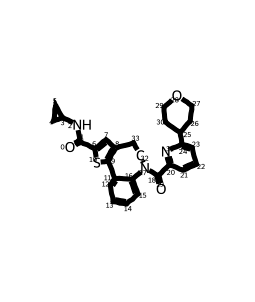 O=C(NC1CC1)c1cc2c(s1)-c1ccccc1N(C(=O)c1cccc(C3CCOCC3)n1)CC2